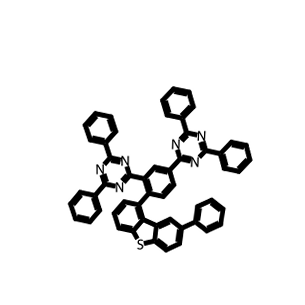 c1ccc(-c2ccc3sc4cccc(-c5ccc(-c6nc(-c7ccccc7)nc(-c7ccccc7)n6)cc5-c5nc(-c6ccccc6)nc(-c6ccccc6)n5)c4c3c2)cc1